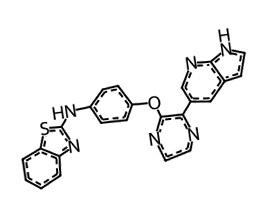 c1ccc2sc(Nc3ccc(Oc4nccnc4-c4cnc5[nH]ccc5c4)cc3)nc2c1